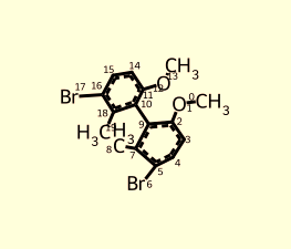 COc1ccc(Br)c(C)c1-c1c(OC)ccc(Br)c1C